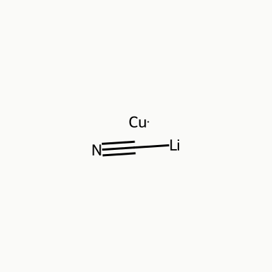 [Cu].[Li][C]#N